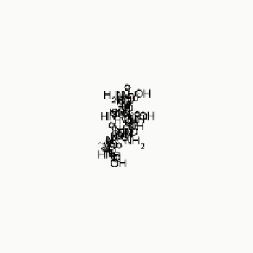 CCCC[C@@H](C(=O)N1CCC[C@@H]1C(=O)N[C@H](C=O)CC(=O)O)N(C)C(=O)C(Cc1ccccc1)N(C)C(=O)[C@H](Cc1ccccc1)NC(=O)CSC[C@H](NC(=O)[C@H](CC(C)C)NC(=O)[C@H](Cc1ccc(O)cc1)NC(=O)[C@H](Cc1c[nH]c2ccccc12)NC(=O)[C@H]1CSCN1C(=O)[C@H](Cc1ccc(O)cc1)NC(=O)C(Cc1ccccc1)N(C)C(=O)[C@@H](N)C(C)C)C(=O)NCC(N)=O